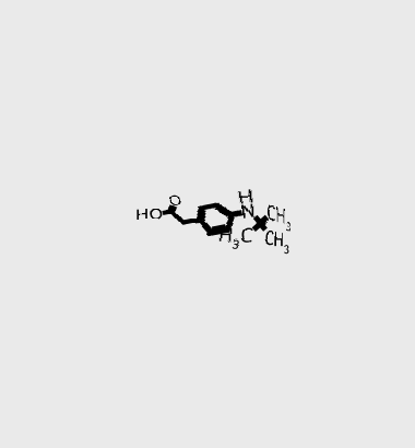 CC(C)(C)Nc1ccc(CC(=O)O)cc1